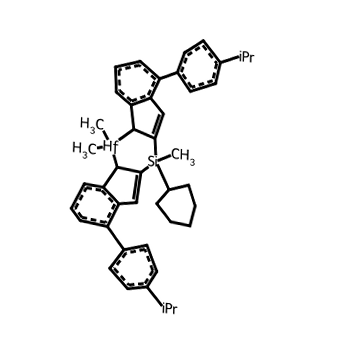 CC(C)c1ccc(-c2cccc3c2C=C2[CH]3[Hf]([CH3])([CH3])[CH]3C(=Cc4c(-c5ccc(C(C)C)cc5)cccc43)[Si]2(C)C2CCCCC2)cc1